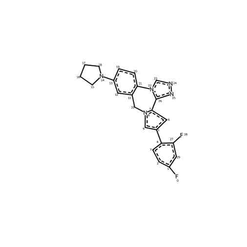 Fc1ccc(-c2cc3n(c2)Cc2cc(N4CCCC4)ccc2-n2cnnc2-3)c(F)c1